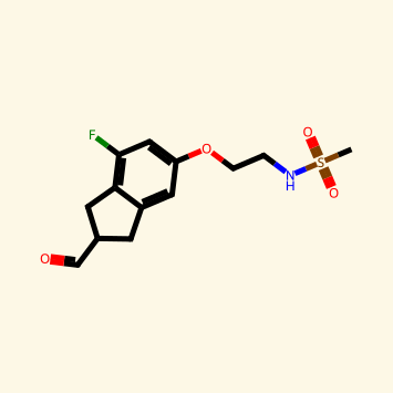 CS(=O)(=O)NCCOc1cc(F)c2c(c1)CC(C=O)C2